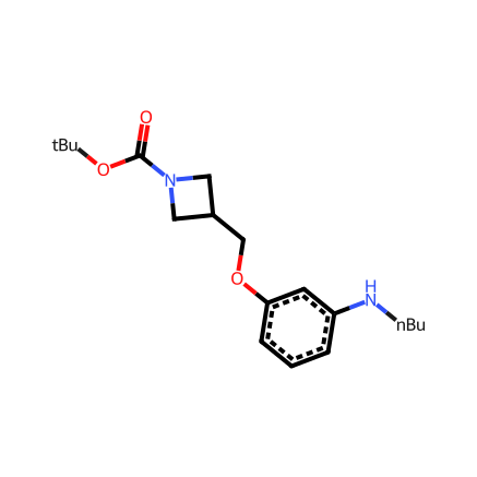 CCCCNc1cccc(OCC2CN(C(=O)OC(C)(C)C)C2)c1